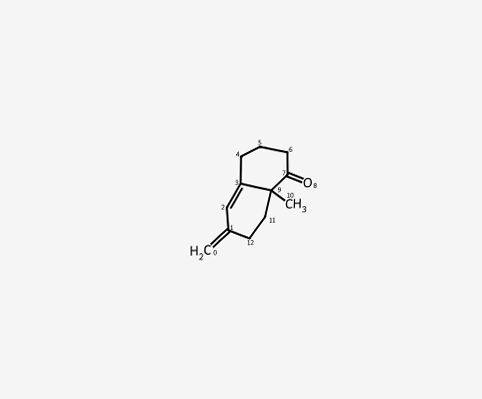 C=C1C=C2CCCC(=O)C2(C)CC1